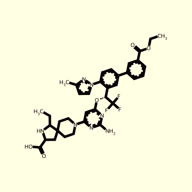 CCOC(=O)c1cccc(-c2ccc(-n3ccc(C)n3)c([C@@H](Oc3cc(N4CCC5(CC4)CC(C(=O)O)NC5CC)nc(N)n3)C(F)(F)F)c2)c1